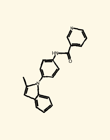 Cc1cc2ccccc2n1-c1ccc(NC(=O)c2cccnc2)cc1